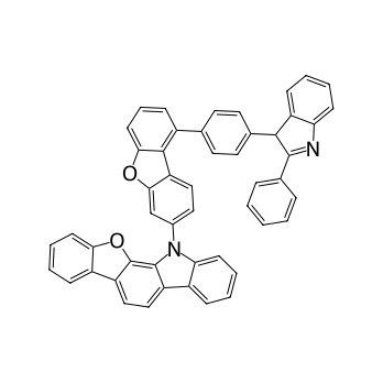 c1ccc(C2=Nc3ccccc3C2c2ccc(-c3cccc4oc5cc(-n6c7ccccc7c7ccc8c9ccccc9oc8c76)ccc5c34)cc2)cc1